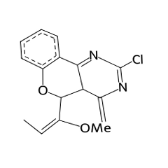 C=C1N=C(Cl)N=C2c3ccccc3OC(/C(=C\C)OC)C12